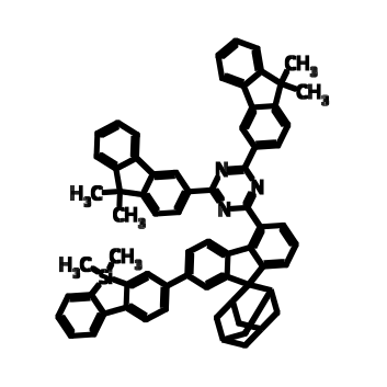 CC1(C)c2ccccc2-c2cc(-c3nc(-c4ccc5c(c4)-c4ccccc4C5(C)C)nc(-c4cccc5c4-c4ccc(-c6ccc7c(c6)[Si](C)(C)c6ccccc6-7)cc4C54C5CC6CC(C5)CC4C6)n3)ccc21